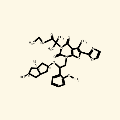 CCNC(=O)C(C)(C)n1c(=O)c2c(C)c(-c3ncco3)sc2n(CC(O[C@H]2CC3C[C@@H](O)C[C@H]3C2)c2ccccc2OC)c1=O